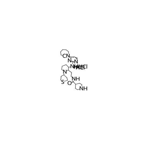 Cl.Cl.Cl.O=C(NCCC1C(Nc2nccc(N3CCCCCC3)n2)CCCN1C1CCSCC1)C1CCNCC1